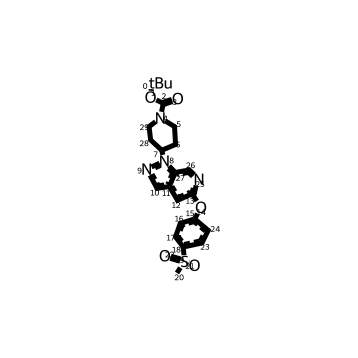 CC(C)(C)OC(=O)N1CCC(n2ncc3cc(Oc4ccc(S(C)(=O)=O)cc4)ncc32)CC1